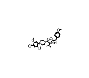 COc1ccc(CC(=O)NC(C(=O)N2CCN(c3cc(OC)c(Cl)cc3Cl)CC2)C(C)C)cc1